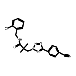 CC(C)(Cn1nnc(-c2ccc(C#N)cc2)n1)C(=O)NCc1ccccc1Cl